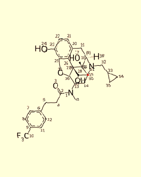 CN(C(=O)CCc1ccc(C(F)(F)F)cc1)C1CC[C@@]2(O)[C@H]3Cc4ccc(O)c5c4[C@@]2(C(O)CN3CC2CC2)C1O5